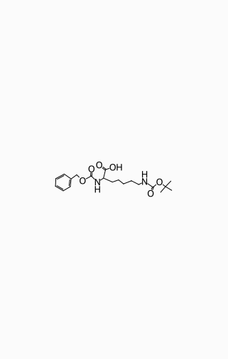 CC(C)(C)OC(=O)NCCCCCC(NC(=O)OCc1ccccc1)C(=O)O